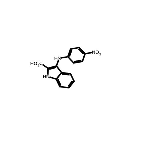 O=C(O)c1[nH]c2ccccc2c1Nc1ccc([N+](=O)[O-])cc1